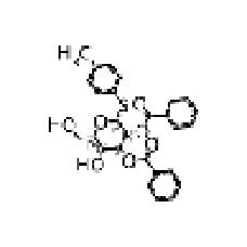 Cc1ccc(S[C@@H]2O[C@H](CO)[C@H](O)[C@H](OC(=O)c3ccccc3)[C@H]2OC(=O)c2ccccc2)cc1